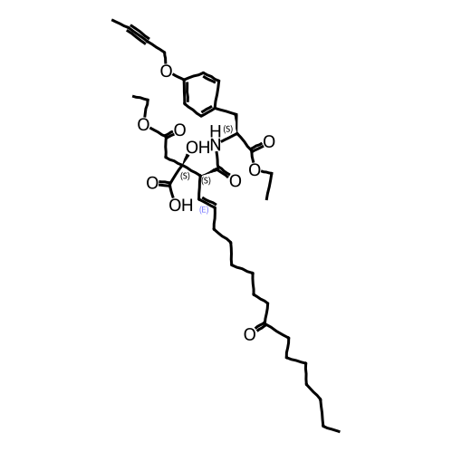 CC#CCOc1ccc(C[C@H](NC(=O)[C@@H](/C=C/CCCCCCC(=O)CCCCCCC)[C@@](O)(CC(=O)OCC)C(=O)O)C(=O)OCC)cc1